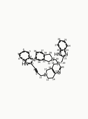 C(#Cc1nc2ccccc2[nH]1)CN1CCC2=C(C1)C[N+](Cc1nc3ccccc3[nH]1)(CN1Cc3ccccc3C1)C=N2